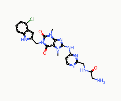 Cn1c(Nc2ccnc(CNC(=O)CN)n2)nc2c1c(=O)n(Cc1cc3c(Cl)cccc3[nH]1)c(=O)n2C